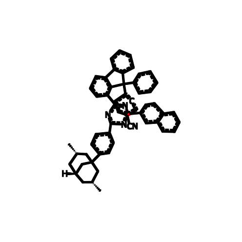 C[C@@H]1C[C@@H]2C[C@H](C)CC(c3ccc(-c4nc(-c5ccc6ccccc6c5)nc(-c5cccc6c5C(c5ccccc5)(c5ccc(C#N)cc5)c5ccccc5-6)n4)cc3)(C1)C2